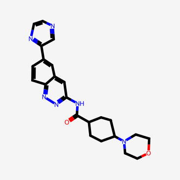 O=C(Nc1cc2cc(-c3cnccn3)ccc2nn1)C1CCC(N2CCOCC2)CC1